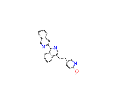 COc1ccc(CCc2cnc(-c3cc4ccccc4cn3)c3ccccc23)cn1